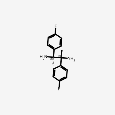 C[C@](N)(c1ccc(F)cc1)[C@](C)(N)c1ccc(F)cc1